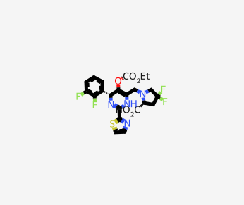 CCOC(=O)OC1=C(CN2CC(F)(F)C[C@H]2C(=O)O)NC(c2nccs2)=N[C@@H]1c1cccc(F)c1F